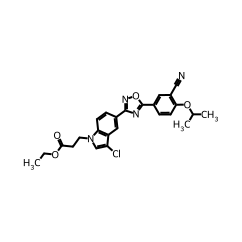 CCOC(=O)CCn1cc(Cl)c2cc(-c3noc(-c4ccc(OC(C)C)c(C#N)c4)n3)ccc21